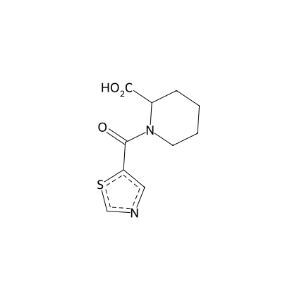 O=C(O)C1CCCCN1C(=O)c1cncs1